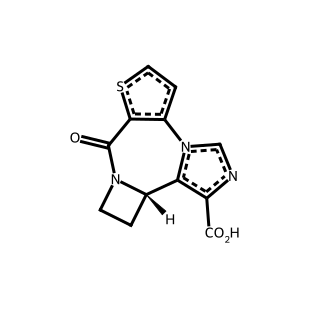 O=C(O)c1ncn2c1[C@@H]1CCN1C(=O)c1sccc1-2